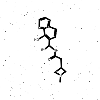 CC(C)C(NC(=O)CC1CN(C)C1)c1ccc2cccnc2c1O